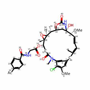 COc1cc2cc(c1Cl)N(C)C(=O)C[C@H](OC(=O)CNC(=O)c1ccc(C(C)=O)cc1)[C@]1(C)O[C@H]1[C@H](C)[C@@H]1C[C@@](O)(NC(=O)O1)[C@H](OC)/C=C/C=C(\C)C2